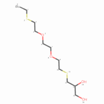 CCC(C)CSCCOCCOCCSCC(O)CO